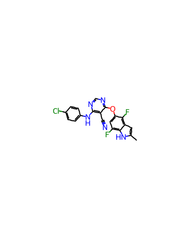 Cc1cc2c(F)c(Oc3ncnc(Nc4ccc(Cl)cc4)c3C#N)cc(F)c2[nH]1